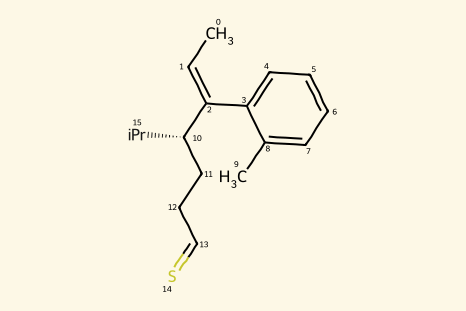 C/C=C(\c1ccccc1C)[C@H](CCC=S)C(C)C